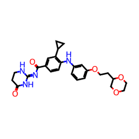 O=C1CCN/C(=N\C(=O)c2ccc(Nc3cccc(OCCC4COCCO4)c3)c(C3CC3)c2)N1